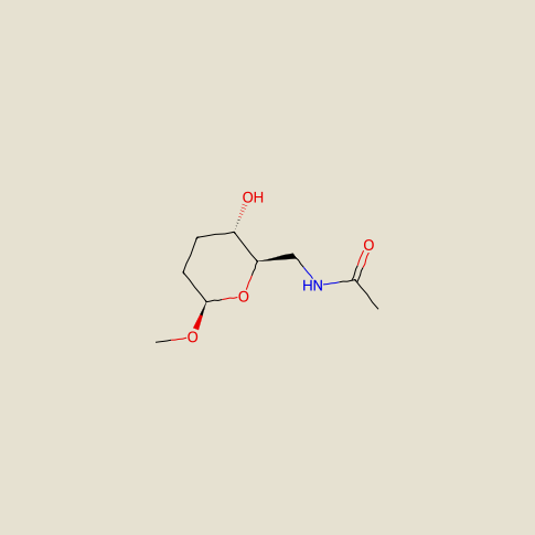 CO[C@H]1CC[C@H](O)[C@@H](CNC(C)=O)O1